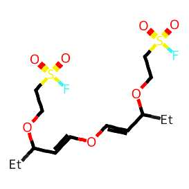 CCC(C=COC=CC(CC)OCCS(=O)(=O)F)OCCS(=O)(=O)F